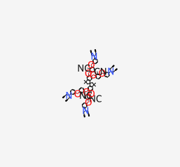 [C-]#[N+]c1c(Oc2cccc(N(CC#C)CC#C)c2)cccc1Oc1cc2c(cc1Oc1cccc(Oc3cccc(N(CC#C)CC#C)c3)c1[N+]#[C-])C1(CC(C)(C)c3cc(Oc4cccc(Oc5cccc(N(CC#C)CC#C)c5)c4C#N)c(Oc4cccc(Oc5cccc(N(CC#C)CC#C)c5)c4C#N)cc31)CC2(C)C